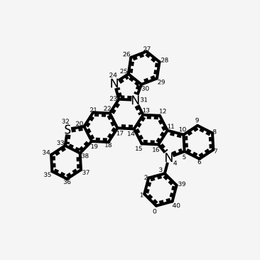 c1ccc(-n2c3ccccc3c3cc4c(cc32)c2cc3c(cc2c2nc5ccccc5n42)sc2ccccc23)cc1